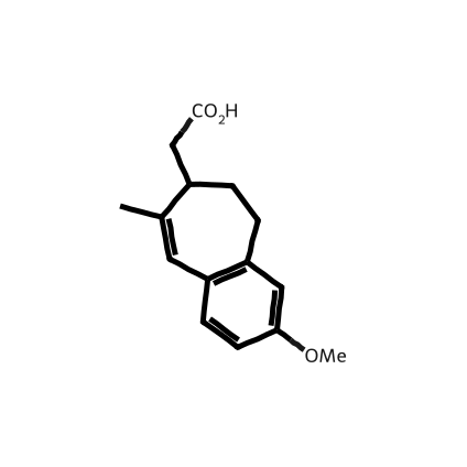 COc1ccc2c(c1)CCC(CC(=O)O)C(C)=C2